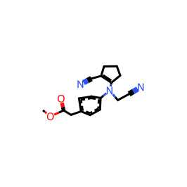 COC(=O)Cc1ccc(N(CC#N)C2=C(C#N)CCC2)cc1